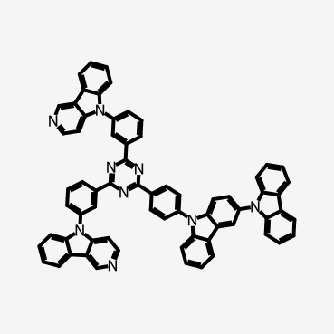 c1cc(-c2nc(-c3ccc(-n4c5ccccc5c5cc(-n6c7ccccc7c7ccccc76)ccc54)cc3)nc(-c3cccc(-n4c5ccccc5c5cnccc54)c3)n2)cc(-n2c3ccccc3c3cnccc32)c1